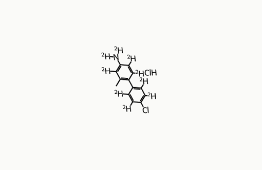 Cl.[2H]c1c([2H])c(-c2c([2H])c([2H])c(N([2H])[2H])c([2H])c2C)c([2H])c([2H])c1Cl